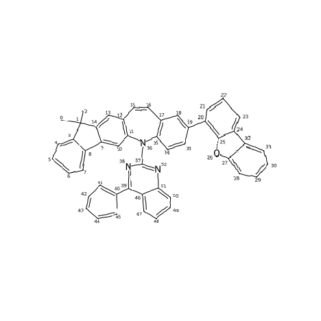 CC1(C)c2ccccc2-c2cc3c(cc21)C=Cc1cc(-c2cccc4c2oc2ccccc24)ccc1N3c1nc(-c2ccccc2)c2ccccc2n1